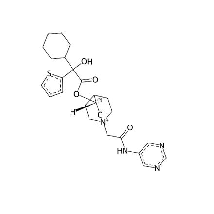 O=C(C[N+]12CCC(CC1)[C@@H](OC(=O)C(O)(c1cccs1)C1CCCCC1)C2)Nc1cncnc1